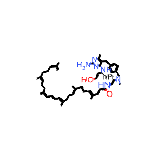 CCC[C@@H](CCO)Nc1nc(N)nc(C)c1Cc1ccc(CN(C)CCNC(=O)CCC(C)=CCCC(C)=CCCC(C)=CCCC=C(C)CC/C=C(\C)CCC=C(C)C)cc1